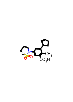 Cc1c(C(=O)O)cc(N2CCCCS2(=O)=O)cc1C1C=CCC1